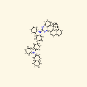 CC1(C)c2c(ccc3ccccc23)-c2nc(-n3c4ccccc4c4cc(-c5ccc6c(c5)c5ccccc5n6-c5ccc6ccccc6c5)ccc43)nc3cccc1c23